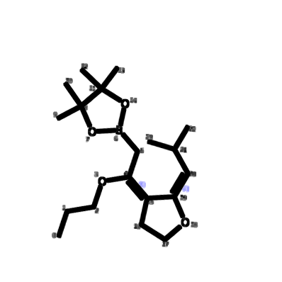 CCCO/C(CB1OC(C)(C)C(C)(C)O1)=C1\CCO\C1=C\C(C)C